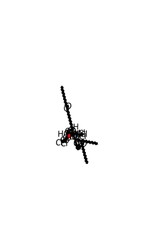 CCCCCCCCCCCCCC(=O)OCCCCCCCCCCCCCC(=O)O[C@@H]1[C@@H](NC(=O)OCC(Cl)(Cl)Cl)[C@H](OC[C@H](COCc2ccccc2)NC(=O)C[C@@H](CCCCCCCCCCC)OC(=O)CCCCCCCCCCCCC)O[C@H](COC(=O)OC(C)(C)C(Cl)(Cl)Cl)[C@H]1OP(=O)(O)O